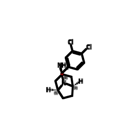 N[C@H]1C[C@H]2CC[C@@H](C1)N2Cc1ccc(Cl)c(Cl)c1